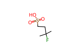 CC(C)(F)CCS(=O)(=O)O